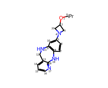 CC(C)OC1CN(c2ccc3c(c2)NCc2cccnc2N3)C1